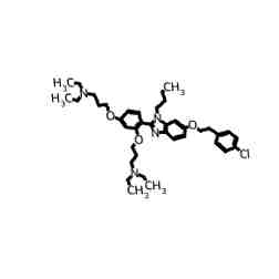 CCCCn1c(-c2ccc(OCCCN(CC)CC)cc2OCCCN(CC)CC)nc2ccc(OCCc3ccc(Cl)cc3)cc21